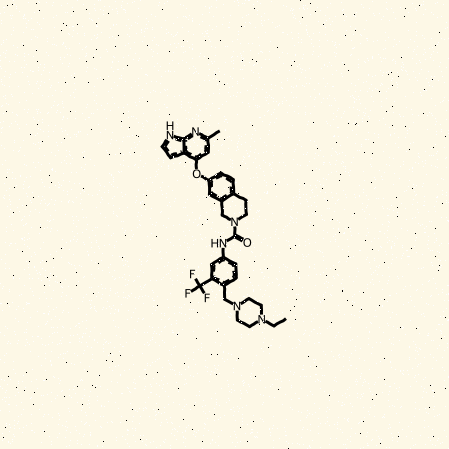 CCN1CCN(Cc2ccc(NC(=O)N3CCc4ccc(Oc5cc(C)nc6[nH]ccc56)cc4C3)cc2C(F)(F)F)CC1